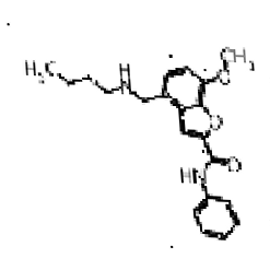 CCCCNCc1ccc(OC)c2oc(C(=O)Nc3ccccc3)cc12